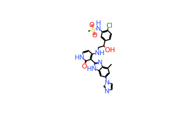 Cc1cc(-n2ccnc2)cc2[nH]c(-c3c(NCC(O)c4ccc(Cl)c(NS(C)(=O)=O)c4)cc[nH]c3=O)nc12